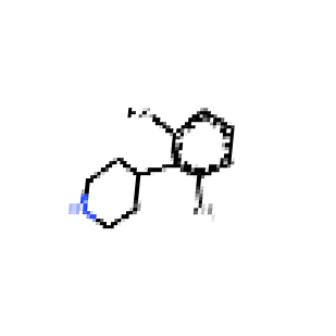 Cc1cccc(C)c1C1CCNCC1